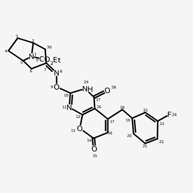 CCOC(=O)N1C2CCC1CC(=NOc1nc3oc(=O)cc(Cc4cccc(F)c4)c3c(=O)[nH]1)C2